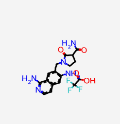 NC(=O)C1CCN(Cc2cc3c(N)nccc3cc2N)C1=O.O=C(O)C(F)(F)F